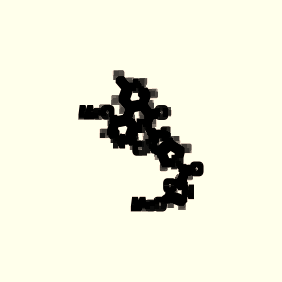 COc1cnc(C(=O)N2Cc3nc(NC(=O)c4cnc(C)cc4-c4cc(Cl)ncc4OC)sc3C2)o1